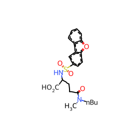 CCCCN(C)C(=O)CCC(NS(=O)(=O)c1ccc2oc3ccccc3c2c1)C(=O)O